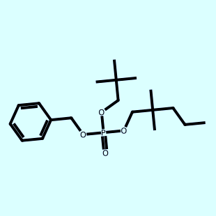 CCCC(C)(C)COP(=O)(OCc1ccccc1)OCC(C)(C)C